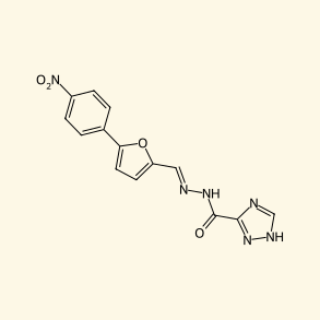 O=C(NN=Cc1ccc(-c2ccc([N+](=O)[O-])cc2)o1)c1nc[nH]n1